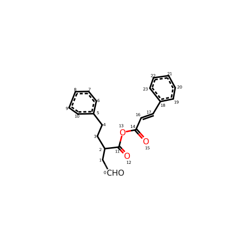 O=CCC(CCc1ccccc1)C(=O)OC(=O)C=Cc1ccccc1